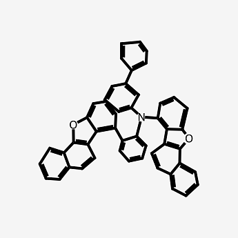 c1ccc(-c2cccc(N(c3ccccc3-c3cccc4oc5c6ccccc6ccc5c34)c3cccc4oc5c6ccccc6ccc5c34)c2)cc1